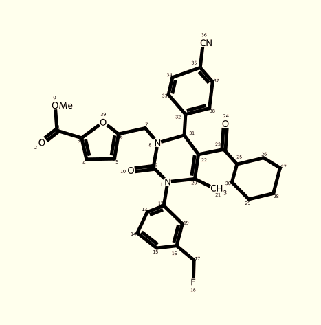 COC(=O)c1ccc(CN2C(=O)N(c3cccc(CF)c3)C(C)=C(C(=O)C3CCCCC3)C2c2ccc(C#N)cc2)o1